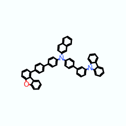 c1cc(-c2ccc(N(c3ccc(-c4ccc(-c5cccc6oc7ccccc7c56)cc4)cc3)c3ccc4ccccc4c3)cc2)cc(-n2c3ccccc3c3ccccc32)c1